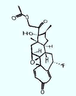 CC(=O)OCC(=O)[C@@]1(O)[C@@H](C)C[C@H]2[C@@H]3C[C@H](F)C4=CC(=O)C=C[C@]4(C)[C@@]34O[C@H]4C[C@@]21C